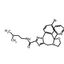 CN(C)CCNC(=O)c1nc2n(n1)-c1ccc(Br)cc1C1(c3ccccn3)OCCN1C2